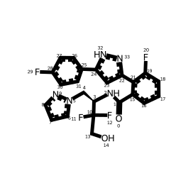 O=C(N[C@H](Cn1cccn1)C(F)(F)CO)c1cccc(F)c1-c1cc(-c2ccc(F)cc2)[nH]n1